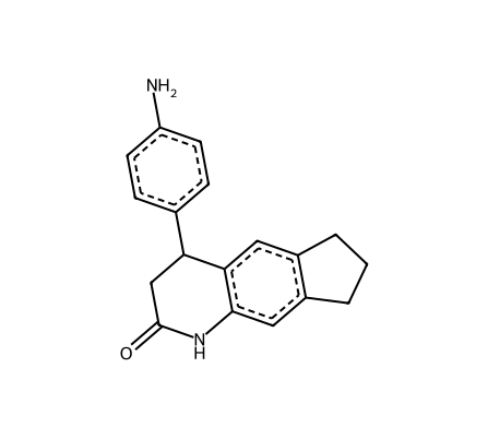 Nc1ccc(C2CC(=O)Nc3cc4c(cc32)CCC4)cc1